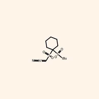 CC(C)(C)S(=O)(=O)C1(S(=O)(=O)C=[N+]=[N-])CCCCC1